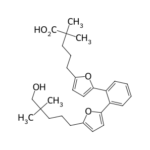 CC(C)(CO)CCCc1ccc(-c2ccccc2-c2ccc(CCCC(C)(C)C(=O)O)o2)o1